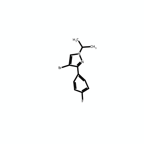 CC(C)n1cc(Br)c(-c2ccc(F)cc2)n1